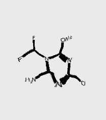 COC1=NC(Cl)=NC(N)N1C(F)F